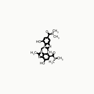 Cc1nc2c(O)cc(C(=O)N(C)C)cc2n1Cn1c(C)nc2cc(C(=O)N(C)C)cc(O)c21